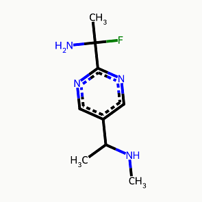 CNC(C)c1cnc(C(C)(N)F)nc1